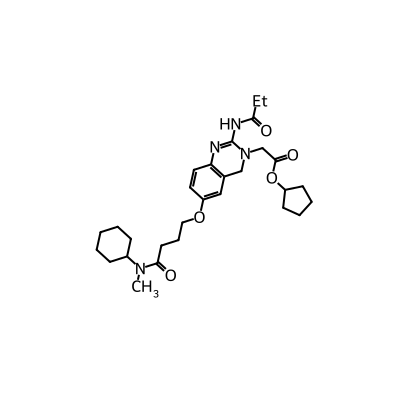 CCC(=O)NC1=Nc2ccc(OCCCC(=O)N(C)C3CCCCC3)cc2CN1CC(=O)OC1CCCC1